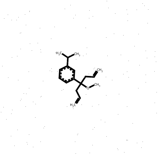 C=CCC(CC=C)(OC)c1cccc(C(C)C)c1